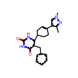 Cc1nn(C)cc1C1=CCC(c2[nH]c(=O)[nH]c(=O)c2Cc2ccccc2)CC1